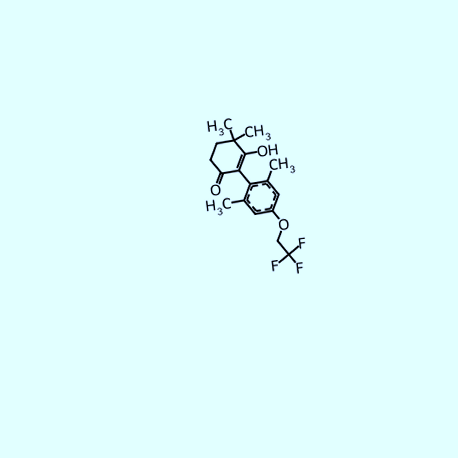 Cc1cc(OCC(F)(F)F)cc(C)c1C1=C(O)C(C)(C)CCC1=O